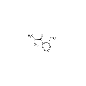 CCOC(=O)c1ccccc1C(=O)N(C)C